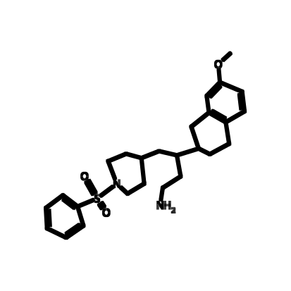 COc1ccc2c(c1)CC(C(CCN)CC1CCN(S(=O)(=O)c3ccccc3)CC1)CC2